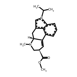 COC(=O)[C@@H]1C=C2c3cccc4c3c(cn4C(C)C)C[C@H]2N(C)C1